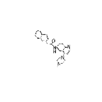 CN1CCN(c2ccnc3ccc(NC(=O)Cc4ccc5ccccc5c4)cc23)CC1